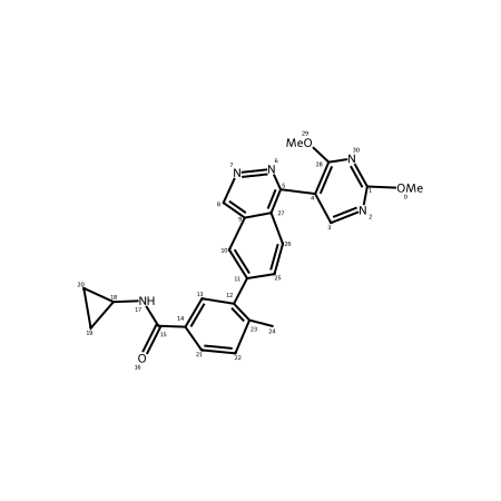 COc1ncc(-c2nncc3cc(-c4cc(C(=O)NC5CC5)ccc4C)ccc23)c(OC)n1